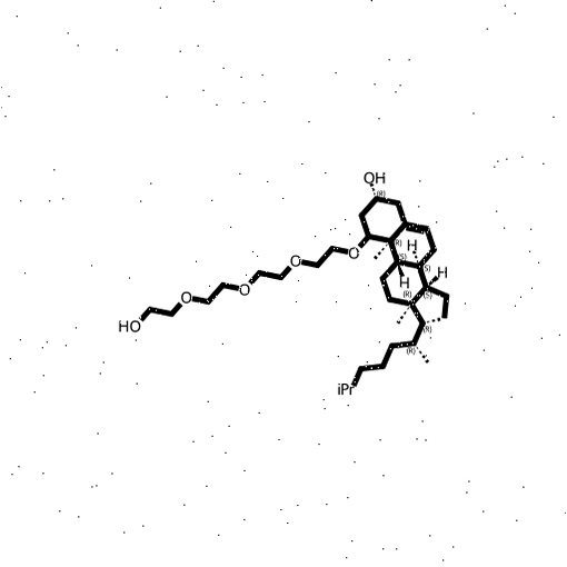 CC(C)CCC[C@@H](C)[C@H]1CC[C@H]2[C@@H]3CC=C4C[C@@H](O)CC(OCCOCCOCCOCCO)[C@]4(C)[C@H]3CC[C@]12C